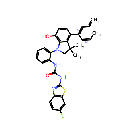 C=C/C=C(\C=C/C)c1ccc(O)c2c1C(C)(C)CN2c1ccccc1NC(=O)Nc1nc2ccc(F)cc2s1